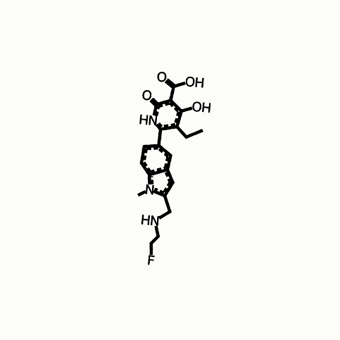 CCc1c(-c2ccc3c(c2)cc(CNCCF)n3C)[nH]c(=O)c(C(=O)O)c1O